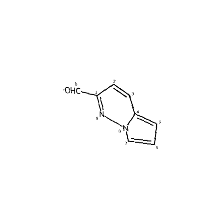 O=[C]c1ccc2cccn2n1